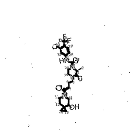 C[C@H]1C(=O)N(CCCC(=O)N2CCC3(CC3)[C@H](O)C2)CCN1C(=O)Nc1ccc(C(F)(F)F)c(Cl)c1